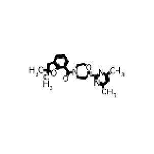 Cc1cc(C)nc(N2CCN(C(=O)c3cccc4c3OC(C)(C)C4)CCO2)n1